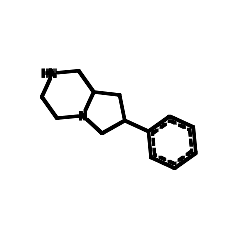 c1ccc(C2CC3CNCCN3C2)cc1